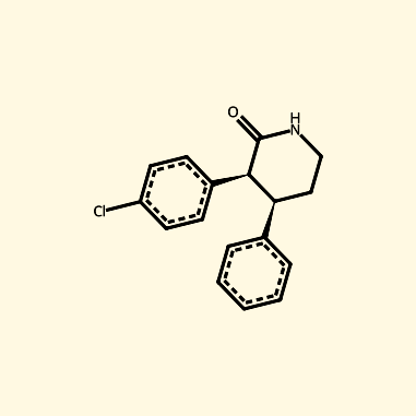 O=C1NCC[C@@H](c2ccccc2)[C@H]1c1ccc(Cl)cc1